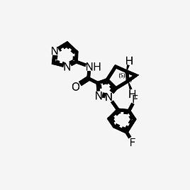 O=C(Nc1ccncn1)c1nn(-c2ccc(F)cc2F)c2c1C[C@@H]1C[C@H]21